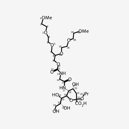 COCCOCCOCC(COC(=O)NCC(=O)N[C@H]1C([C@H](O)[C@H](O)CO)O[C@](OC(C)C)(C(=O)O)C[C@H]1O)OCCOCCOC